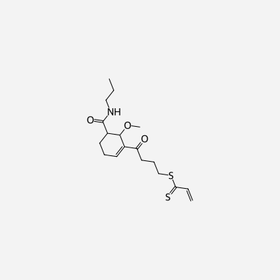 C=CC(=S)SCCCC(=O)C1=CCCC(C(=O)NCCC)C1OC